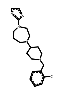 Clc1ccccc1CN1CCC(N2CCCN(c3nccs3)CC2)CC1